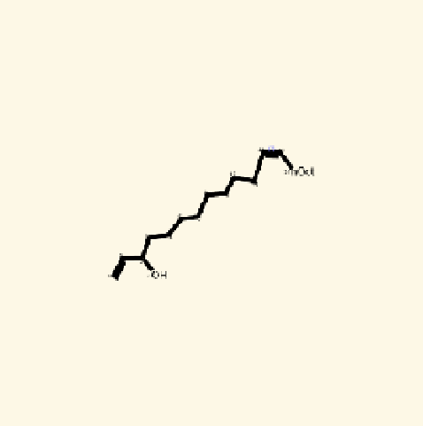 C=CC(O)CCCCCCCC/C=C\CCCCCCCC